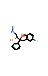 CCNC[C@H](O)C(O)(Cc1cc(Cl)ccc1Cl)c1ccccc1